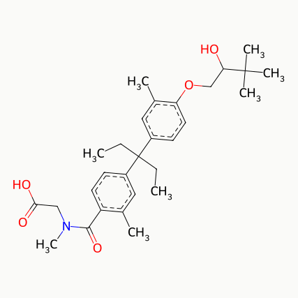 CCC(CC)(c1ccc(OCC(O)C(C)(C)C)c(C)c1)c1ccc(C(=O)N(C)CC(=O)O)c(C)c1